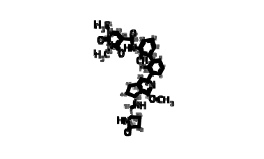 COc1nc(-c2cccc(-c3cccc(NC(=O)c4cn(C)c(=O)n(C)c4=O)c3C)c2F)cc2c1[C@H](NC[C@@H]1CCC(=O)N1)CC2